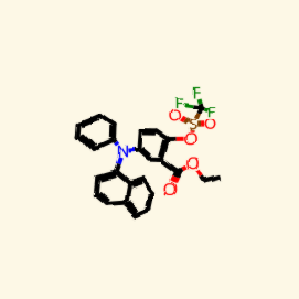 CCOC(=O)c1cc(N(c2ccccc2)c2cccc3ccccc23)ccc1OS(=O)(=O)C(F)(F)F